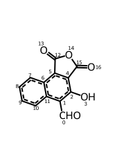 O=Cc1c(O)c2c(c3ccccc13)C(=O)OC2=O